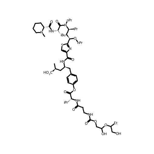 CCCO[C@H](C[C@H](C(C)C)N(CCC)C(=O)[C@@H](NC(=O)[C@H]1CCCCN1C)[C@@H](C)CC)c1nc(C(=O)N[C@@H](Cc2ccc(OC(=O)[C@H](NC(=O)CCNC(=O)OCC(O)OC(CC)CO)C(C)C)cc2)C[C@H](C)C(=O)O)cs1